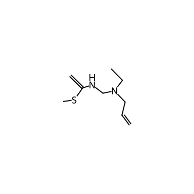 C=CCN(CC)CNC(=C)SC